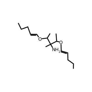 CCCC=COC(C)C(C)(N)C(C)OC=CCCC